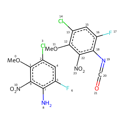 COc1c(Cl)cc(F)c(N)c1[N+](=O)[O-].COc1c(Cl)cc(F)c(N=C=O)c1[N+](=O)[O-]